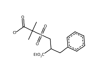 CCOC(=O)C(Cc1ccccc1)CS(=O)(=O)C(C)(C)C(=O)Cl